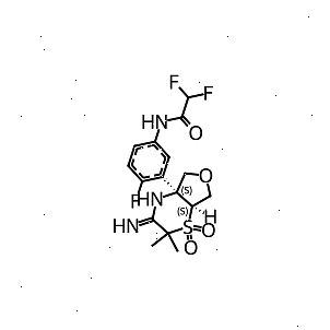 CC1(C)C(=N)N[C@@]2(c3cc(NC(=O)C(F)F)ccc3F)COC[C@H]2S1(=O)=O